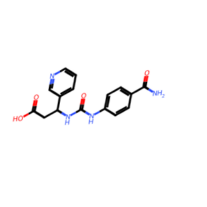 NC(=O)c1ccc(NC(=O)NC(CC(=O)O)c2cccnc2)cc1